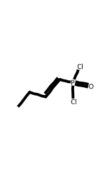 CCC=CP(=O)(Cl)Cl